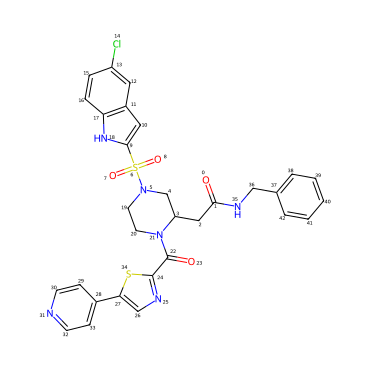 O=C(CC1CN(S(=O)(=O)c2cc3cc(Cl)ccc3[nH]2)CCN1C(=O)c1ncc(-c2ccncc2)s1)NCc1ccccc1